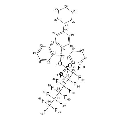 O=S(=O)(OS(c1ccccc1)(c1ccccc1)c1ccc(C2CCCCC2)cc1)C(F)(F)C(F)(F)C(F)(F)C(F)(F)C(F)(F)C(F)(F)F